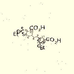 CCOC(=S)SC(CCCCC(CCC(=O)O)SC(=S)OCC)CCC(=O)O